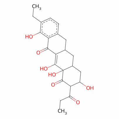 CCC(=O)C1C(=O)C2(O)C(O)=C3C(=O)c4c(ccc(CC)c4O)CC3CC2CC1O